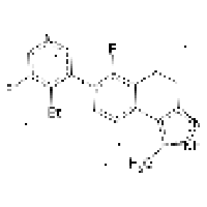 CCc1c(F)cncc1-c1ccc2c(c1F)CCc1n[nH]c(C)c1-2